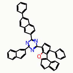 c1ccc(-c2ccc3cc(-c4nc(-c5ccc6ccccc6c5)nc(-c5ccc(-c6ccccc6)c6c5oc5ccc7ccccc7c56)n4)ccc3c2)cc1